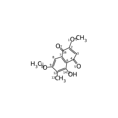 COC1=CC(=O)c2c(cc(OC)c(C)c2O)C1=O